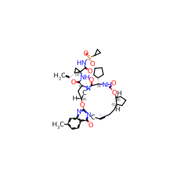 C=C[C@@H]1C[C@]1(NC(=O)[C@@H]1C[C@@H]2CN1C(=O)[C@H](C1CCCC1)NC(=O)O[C@@H]1CCC[C@H]1CC/C=C/Cn1c(nc3cc(C)ccc3c1=O)O2)C(=O)NS(=O)(=O)C1CC1